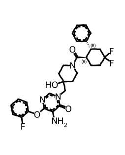 Nc1c(Oc2ccccc2F)ncn(CC2(O)CCN(C(=O)[C@@H]3CCC(F)(F)C[C@H]3c3ccccc3)CC2)c1=O